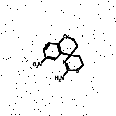 NC1=NC2(CCOc3ccc([N+](=O)[O-])cc32)CCS1